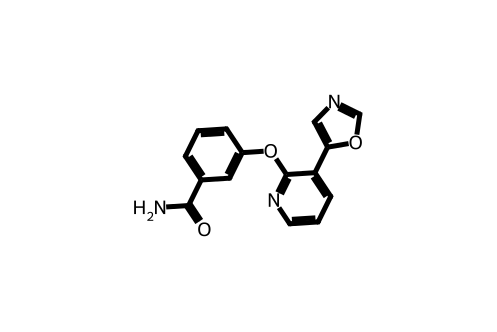 NC(=O)c1cccc(Oc2ncccc2-c2cnco2)c1